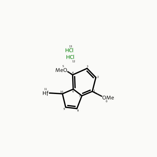 COc1ccc(OC)c2c1C=C[CH]2[Hf].Cl.Cl